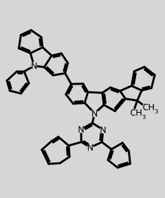 CC1(C)c2ccccc2-c2cc3c4cc(-c5ccc6c7ccccc7n(-c7ccccc7)c6c5)ccc4n(-c4nc(C5=CCC=CC=C5)nc(-c5ccccc5)n4)c3cc21